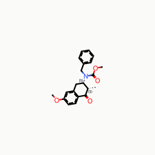 COC(=O)N(Cc1ccccc1)[C@H]1Cc2cc(OC)ccc2C(=O)[C@H]1C